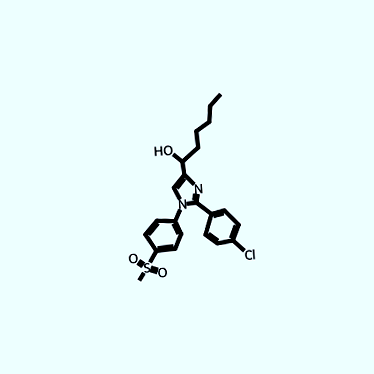 CCCCCC(O)c1cn(-c2ccc(S(C)(=O)=O)cc2)c(-c2ccc(Cl)cc2)n1